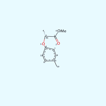 COC(=O)[C@@H](C)Oc1ccc(C)cc1